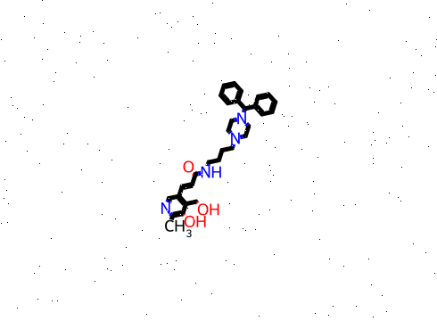 Cc1ncc(C=CC(=O)NCCCCN2CCN(C(c3ccccc3)c3ccccc3)CC2)c(CO)c1O